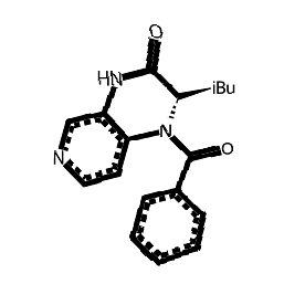 CC[C@H](C)[C@H]1C(=O)Nc2cnccc2N1C(=O)c1ccccc1